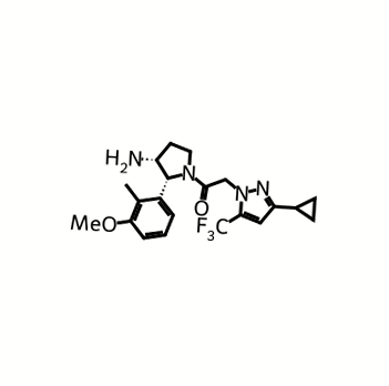 COc1cccc([C@@H]2[C@H](N)CCN2C(=O)Cn2nc(C3CC3)cc2C(F)(F)F)c1C